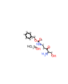 NC(CO)C(=O)CCNC(=O)OCc1ccccc1.O=S(=O)(O)O